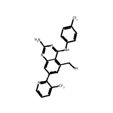 CC(C)Cc1cc(-c2ncccc2C(F)(F)F)cc2nc(N)nc(Nc3ccc(C(F)(F)F)cc3)c12